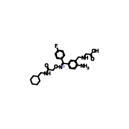 Nc1ccc(/C(=N/OCC(=O)NCC2CCCCC2)c2ccc(F)cc2)cc1CNCC(=O)O